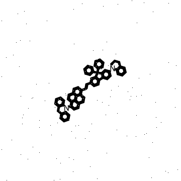 C(=C\c1ccc2ccc3c(N4c5ccccc5Cc5ccccc54)ccc4ccc1c2c43)/c1ccc2c(c1)C(c1ccccc1)(c1ccccc1)c1cc(N3CCCc4ccccc43)ccc1-2